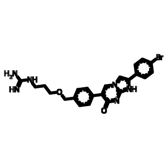 N=C(N)NCCCOCc1ccc(-c2cn3cc(-c4ccc(Br)cc4)[nH]c3nc2=O)cc1